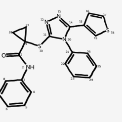 O=C(Nc1ccccc1)C1(Sc2nnc(-c3ccsc3)n2-c2ccccc2)CC1